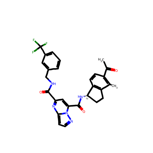 CC(=O)c1ccc2c(c1C)CC[C@@H]2NC(=O)c1cc(C(=O)NCc2cccc(C(F)(F)F)c2)nc2ccnn12